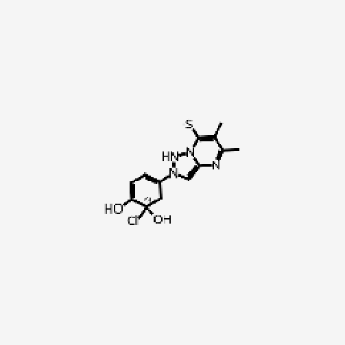 CC1=NC2=CN(C3=CC=C(O)[C@@](O)(Cl)C3)NN2C([S])=C1C